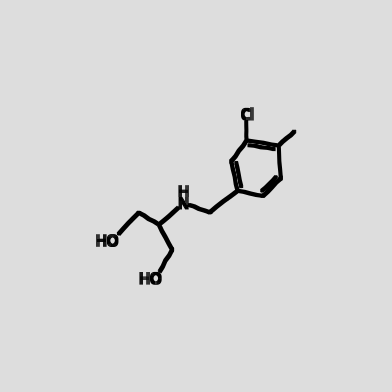 Cc1ccc(CNC(CO)CO)cc1Cl